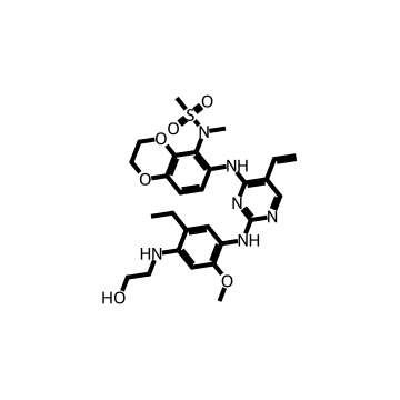 C=Cc1cnc(Nc2cc(CC)c(NCCO)cc2OC)nc1Nc1ccc2c(c1N(C)S(C)(=O)=O)OCCO2